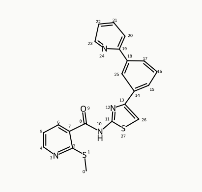 CSc1ncccc1C(=O)Nc1nc(-c2cccc(-c3ccccn3)c2)cs1